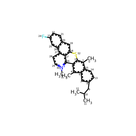 Cc1c2c(c(C)c3cc(CC(C)C)ccc13)-c1c3c(cc4ccc(F)cc4c3cc[n+]1C)S2